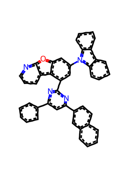 c1ccc(-c2cc(-c3ccc4ccccc4c3)nc(-c3cc(-n4c5ccccc5c5ccccc54)cc4oc5ncccc5c34)n2)cc1